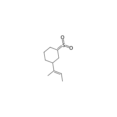 CC=C(C)C1CCCC(=S(=O)=O)C1